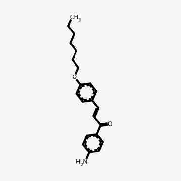 CCCCCCCOc1ccc(C=CC(=O)c2ccc(N)cc2)cc1